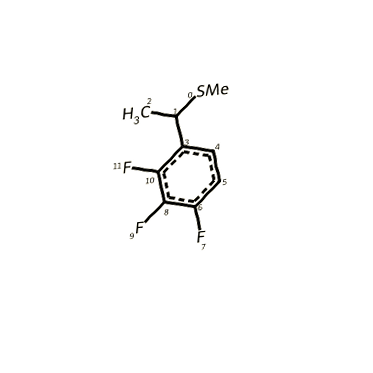 CSC(C)c1ccc(F)c(F)c1F